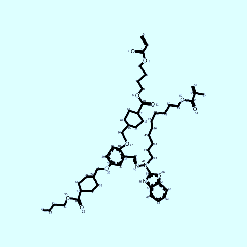 C=CC(=O)OCCCCOC(=O)C1CCC(COc2ccc(OCC3CCC(C(=O)OCCCC)CC3)cc2/C=N/N(CCCCCCCCCCOC(=O)C(=C)C)c2nc3ccccc3s2)CC1